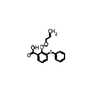 C=CCOOc1c(Sc2ccccc2)cccc1C(=O)O